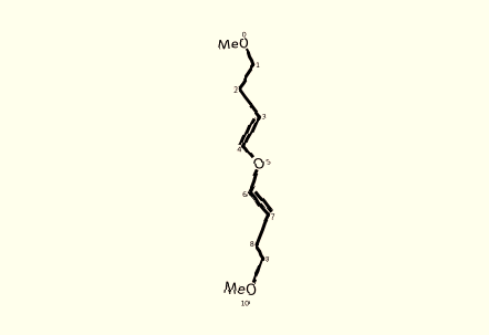 COCCC=COC=CCCOC